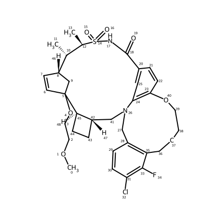 COCCOC12C=C[C@@H](C1)[C@H](C)[C@@H](C)S(=O)(=O)NC(=O)c1ccc3c(c1)N(Cc1ccc(Cl)c(F)c1CCCCO3)C[C@@H]1CC[C@H]12